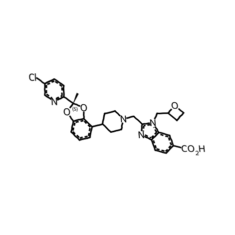 C[C@]1(c2ccc(Cl)cn2)Oc2cccc(C3CCN(Cc4nc5ccc(C(=O)O)cc5n4CC4CCO4)CC3)c2O1